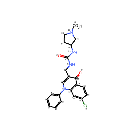 O=C(NCc1cn(-c2ccccc2)c2cc(Cl)ccc2c1=O)NC1CCN(C(=O)O)C1